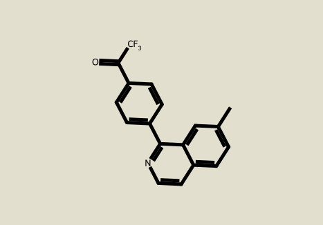 Cc1ccc2ccnc(-c3ccc(C(=O)C(F)(F)F)cc3)c2c1